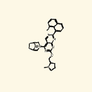 Cc1cccc2cccc(-c3ncc4c(N5CC6CCC(C5)N6)nc(OCC5CCCN5C)nc4n3)c12